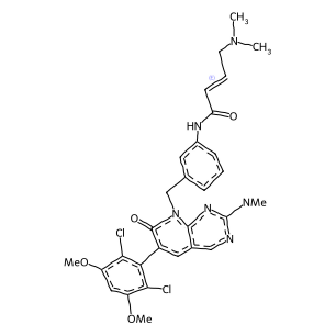 CNc1ncc2cc(-c3c(Cl)c(OC)cc(OC)c3Cl)c(=O)n(Cc3cccc(NC(=O)/C=C/CN(C)C)c3)c2n1